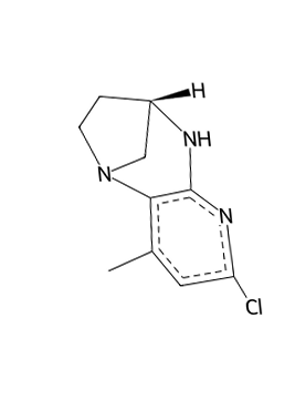 Cc1cc(Cl)nc2c1N1CC[C@@H](C1)N2